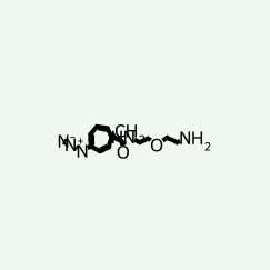 CC1(C(=O)NCCOCCN)C=CC=C(N=[N+]=[N-])C=C1